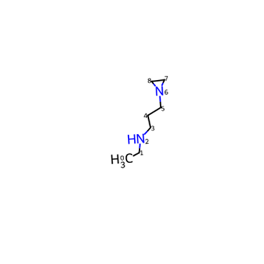 CCNCCCN1CC1